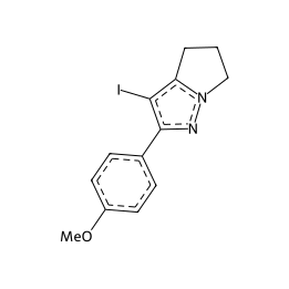 COc1ccc(-c2nn3c(c2I)CCC3)cc1